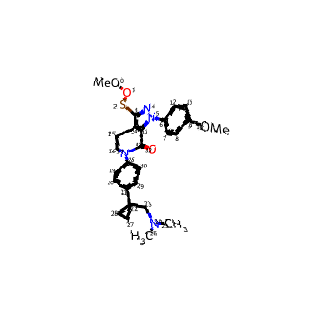 COOSc1nn(-c2ccc(OC)cc2)c2c1CCN(c1ccc(C3(CN(C)C)CC3)cc1)C2=O